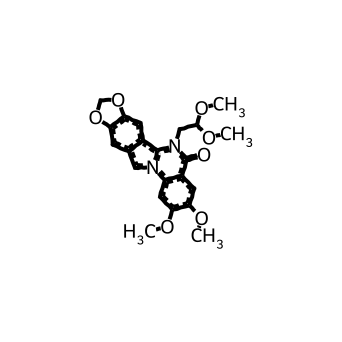 COc1cc2c(=O)n(CC(OC)OC)c3c4cc5c(cc4cn3c2cc1OC)OCO5